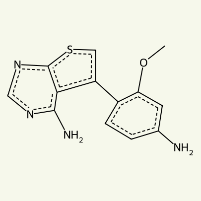 COc1cc(N)ccc1-c1csc2ncnc(N)c12